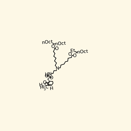 CCCCCCCCC(CC)OC(=O)CCCCCCCN(CCCCCCCC(=O)OC(CCCCCCCC)CCCCCCCC)CCCNS(=O)(=O)C[C@]12CC[C@@H](CC1=O)C2(C)C